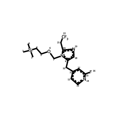 C[Si](C)(C)CCOCn1c(Cc2ccnc(F)c2)cnc1CC(F)(F)F